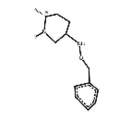 C[C@@H]1CCC(NOCc2ccccc2)CN1I